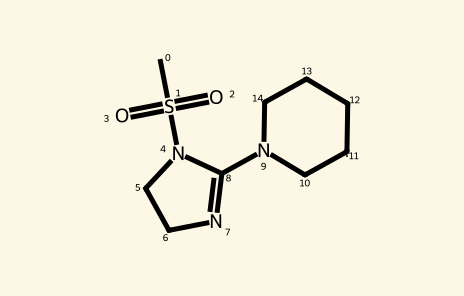 CS(=O)(=O)N1CCN=C1N1C[CH]CCC1